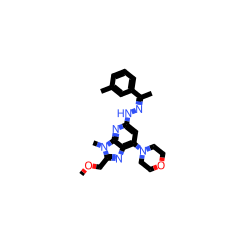 COCc1nc2c(N3CCOCC3)cc(NN=C(C)c3cccc(C)c3)nc2n1C